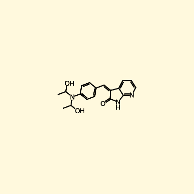 CC(O)N(c1ccc(C=C2C(=O)Nc3ncccc32)cc1)C(C)O